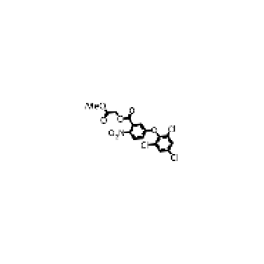 COC(=O)COC(=O)c1cc(Oc2c(Cl)cc(Cl)cc2Cl)ccc1[N+](=O)[O-]